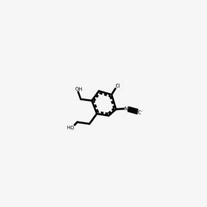 [C-]#[N+]c1cc(CCO)c(CO)cc1Cl